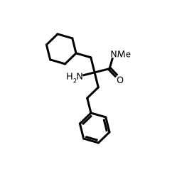 CNC(=O)C(N)(CCc1ccccc1)CC1CCCCC1